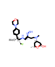 CO[C@H](c1ccc(N2CCOCC2)cc1)[C@@H](CF)N/C=C(/CCN(C)[C@H]1C[C@@H](C)O[C@@H](O)C1)N=N